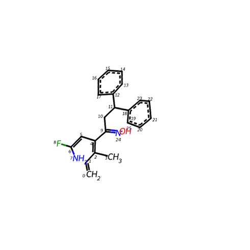 C=C/C(C)=C(\C=C(/N)F)C(/CC(c1ccccc1)c1ccccc1)=N/O